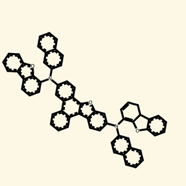 C1=CC(N(c2ccc3ccccc3c2)c2ccc3c(c2)oc2c4ccc(N(c5ccc6ccccc6c5)c5cccc6c5oc5ccccc56)cc4c4ccccc4c32)=C2Oc3ccccc3C2C1